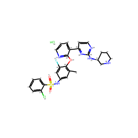 Cc1cc(NS(=O)(=O)c2ccccc2Cl)cc(F)c1Oc1ncccc1-c1ccnc(N[C@H]2CCCNC2)n1.Cl